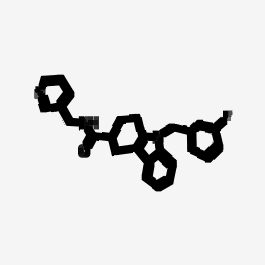 O=C(NCc1cccnc1)C1CCc2c(c3ccccc3n2Cc2cccc(F)c2)C1